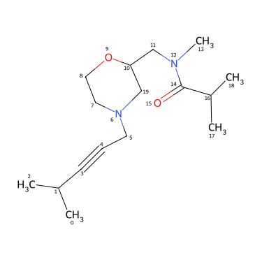 CC(C)C#CCN1CCOC(CN(C)C(=O)C(C)C)C1